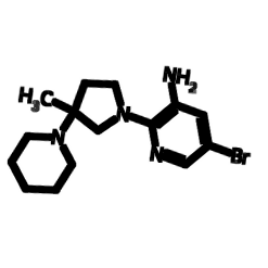 CC1(N2CCCCC2)CCN(c2ncc(Br)cc2N)C1